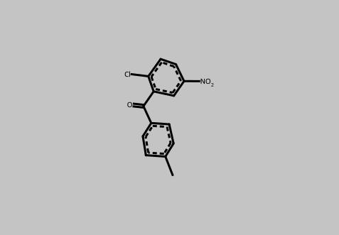 Cc1ccc(C(=O)c2cc([N+](=O)[O-])ccc2Cl)cc1